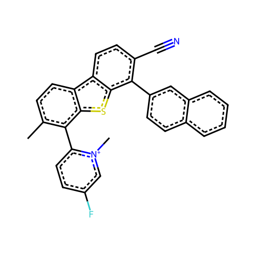 Cc1ccc2c(sc3c(-c4ccc5ccccc5c4)c(C#N)ccc32)c1-c1ccc(F)c[n+]1C